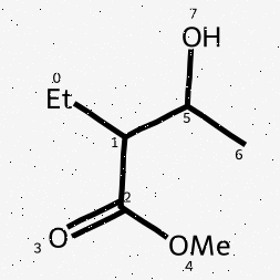 CCC(C(=O)OC)C(C)O